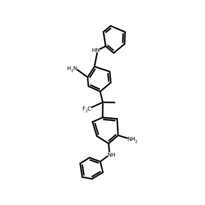 CC(c1ccc(Nc2ccccc2)c(N)c1)(c1ccc(Nc2ccccc2)c(N)c1)C(F)(F)F